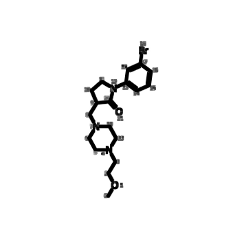 COCCN1CCN(CC2CCN(c3cccc(Br)c3)C2=O)CC1